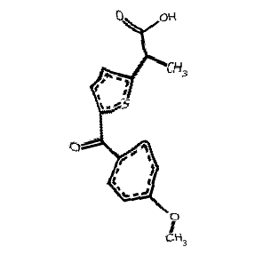 COc1ccc(C(=O)c2ccc(C(C)C(=O)O)s2)cc1